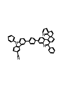 N#Cc1ccc2c(c1)c1cc(-c3ccc(-c4ccc5c(c4)nc(-c4ccccc4)c4ccc6ccc7cccnc7c6c45)cc3)ccc1n2-c1ccccc1